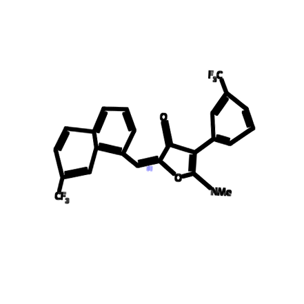 CNC1=C(c2cccc(C(F)(F)F)c2)C(=O)/C(=C\c2cccc3ccc(C(F)(F)F)cc23)O1